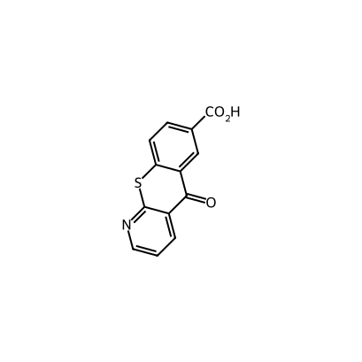 O=C(O)c1ccc2sc3ncccc3c(=O)c2c1